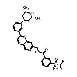 C[C@@H]1CN(c2cccc(-c3ccc4cnc(CNC(=O)c5cccc([S@](=N)(=O)C(F)F)c5)cc4n3)n2)C[C@H](C)N1